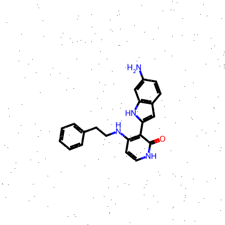 Nc1ccc2cc(-c3c(NCCc4ccccc4)cc[nH]c3=O)[nH]c2c1